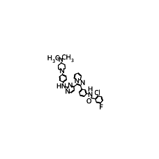 CN(C)C1CCN(c2ccc(Nc3nccc(-c4c(-c5cccc(NC(=O)c6cc(F)ccc6Cl)c5)nc5ccccn45)n3)cc2)CC1